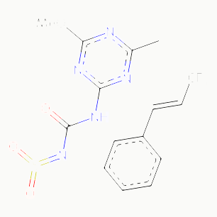 COc1nc(C)nc(NC(=O)N=S(=O)=O)n1.FC(F)(F)C=Cc1ccccc1